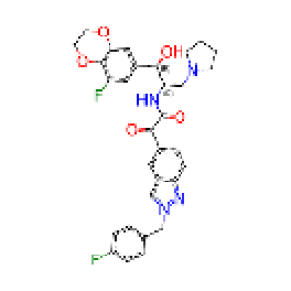 O=C(N[C@H](CN1CCCC1)[C@H](O)c1cc(F)c2c(c1)OCCO2)C(=O)c1ccc2nn(Cc3ccc(F)cc3)cc2c1